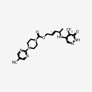 CC(/C=C/COC(=O)N1CCN(c2ncc(C#N)cn2)CC1)Nc1cn[nH]c(=O)c1C(F)(F)F